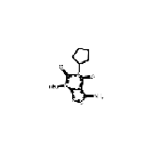 CCCCn1c(=O)n(C2CCCC2)c(=O)c2c(N)snc21